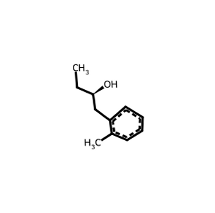 CC[C@@H](O)Cc1ccccc1C